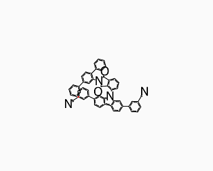 N#Cc1cccc(-c2ccc3c4ccc(-c5cccc(C#N)c5)cc4n(-c4cccc5c4C(=O)N(c4cc(-c6ccccc6)ccc4-c4ccccc4)C5=O)c3c2)c1